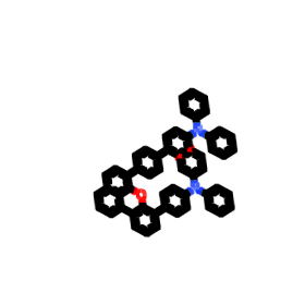 c1ccc(N(c2ccccc2)c2ccc(-c3ccc(-c4ccc5cccc6c5c4Oc4c(-c5ccc(N(c7ccccc7)c7ccccc7)cc5)cccc4-6)cc3)cc2)cc1